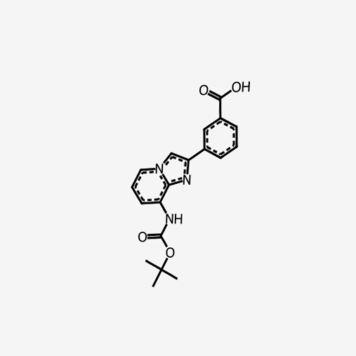 CC(C)(C)OC(=O)Nc1cccn2cc(-c3cccc(C(=O)O)c3)nc12